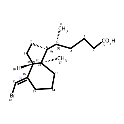 C[C@H](CCCC(=O)O)[C@H]1CC[C@H]2/C(=C/Br)CCC[C@]12C